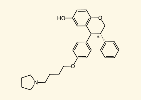 Oc1ccc2c(c1)C(c1ccc(OCCCCN3CCCC3)cc1)[C@@H](c1ccccc1)CO2